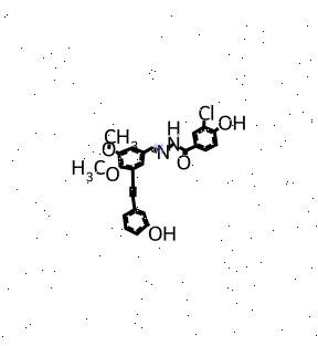 COc1cc(/C=N/NC(=O)c2ccc(O)c(Cl)c2)cc(C#Cc2cccc(O)c2)c1OC